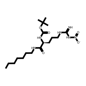 CCCCCCCNC(=O)[C@H](CCCNC(=N)N[N+](=O)[O-])NC(=O)OC(C)(C)C